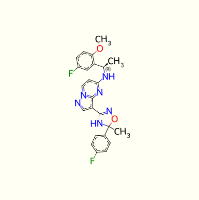 COc1ccc(F)cc1[C@@H](C)Nc1ccn2ncc(C3=NOC(C)(c4ccc(F)cc4)N3)c2n1